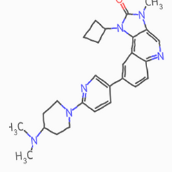 CN(C)C1CCN(c2ccc(-c3ccc4ncc5c(c4c3)n(C3CCC3)c(=O)n5C)cn2)CC1